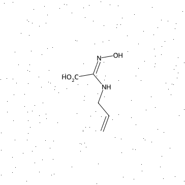 C=CCN/C(=N\O)C(=O)O